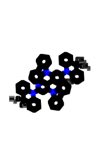 CC1(C)c2ccccc2N(c2cc(-n3c4ccccc4c4ccccc43)c(-c3cc(C#N)c(N4c5ccccc5C(C)(C)c5ccccc54)cc3-n3c4ccccc4c4ccccc43)cn2)c2ccccc21